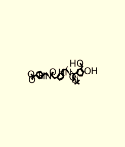 COC(=O)c1ccc(CNC(=O)Cc2cccc(C[C@@H](C)NC[C@@H](O[Si](C)(C)C(C)(C)C)c3ccc(O)c(CO)c3)c2)cc1